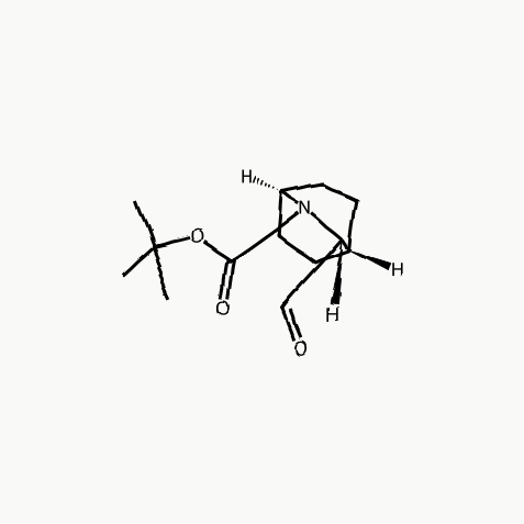 CC(C)(C)OC(=O)N1[C@H]2CC[C@@H](CC2)[C@@H]1C=O